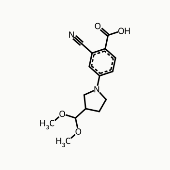 COC(OC)C1CCN(c2ccc(C(=O)O)c(C#N)c2)C1